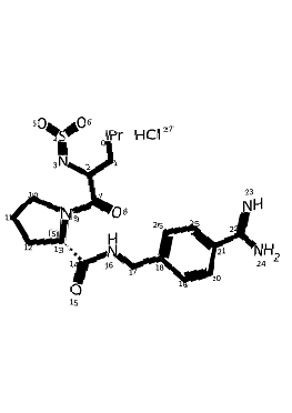 CC(C)CC(N=S(=O)=O)C(=O)N1CCC[C@H]1C(=O)NCc1ccc(C(=N)N)cc1.Cl